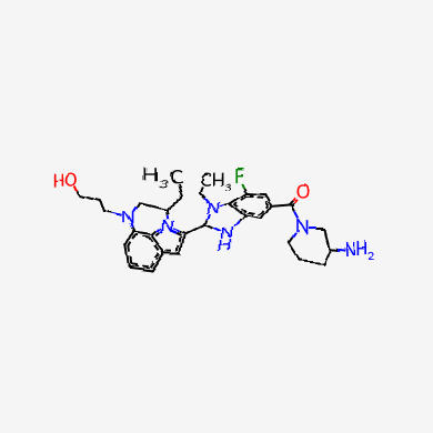 CCC1CN(CCCO)c2cccc3cc(C4Nc5cc(C(=O)N6CCCC(N)C6)cc(F)c5N4CC)n1c23